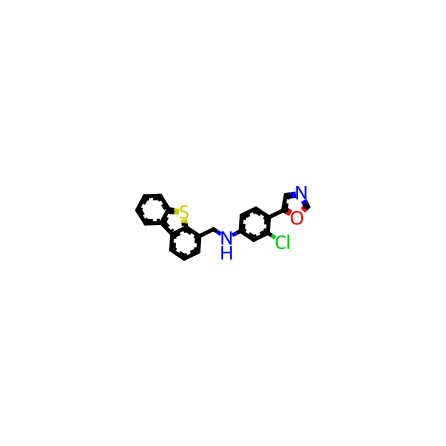 Clc1cc(NCc2cccc3c2sc2ccccc23)ccc1-c1cnco1